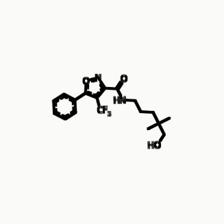 CC(C)(CO)CCCNC(=O)c1noc(-c2ccccc2)c1C(F)(F)F